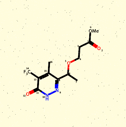 COC(=O)CCOC(C)c1n[nH]c(=O)c(C(F)(F)F)c1C